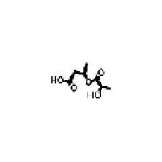 CC(CC(=O)O)OC(=O)C(C)O